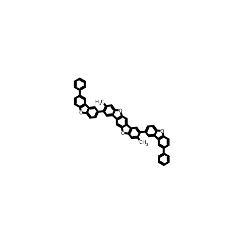 Cc1cc2oc3cc4c(cc3c2cc1-c1ccc2oc3ccc(-c5ccccc5)cc3c2c1)oc1cc(C)c(-c2ccc3oc5ccc(-c6ccccc6)cc5c3c2)cc14